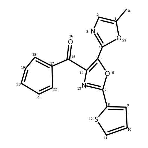 Cc1cnc(-c2oc(-c3cccs3)nc2C(=O)c2ccccc2)o1